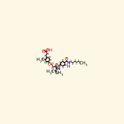 CCCCCCNC(=O)c1ccc(-c2nc(C(C)C)c(CCOc3ccc(CCC(=O)O)c(C)c3)o2)cc1